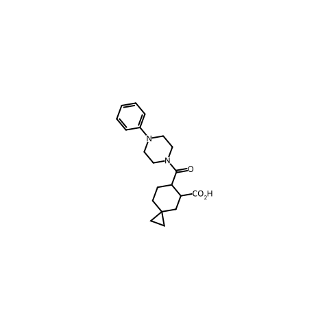 O=C(O)C1CC2(CCC1C(=O)N1CCN(c3ccccc3)CC1)CC2